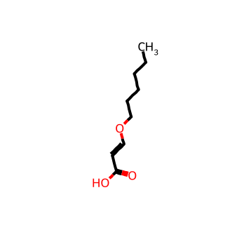 CCCCCCOC=CC(=O)O